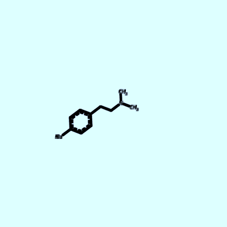 CCC(C)c1ccc(CCN(C)C)cc1